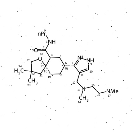 CCCNC(=O)C1C[C@H](c2n[nH]cc2CN(C)CCNC)CC[C@@]12CC(C)(C)CO2